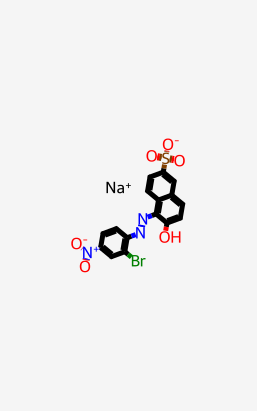 O=[N+]([O-])c1ccc(N=Nc2c(O)ccc3cc(S(=O)(=O)[O-])ccc23)c(Br)c1.[Na+]